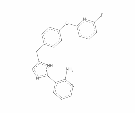 Nc1ncccc1-c1ncc(Cc2ccc(Oc3cccc(F)n3)cc2)[nH]1